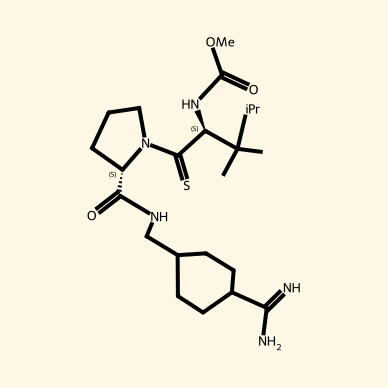 COC(=O)N[C@H](C(=S)N1CCC[C@H]1C(=O)NCC1CCC(C(=N)N)CC1)C(C)(C)C(C)C